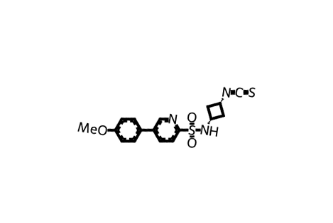 COc1ccc(-c2ccc(S(=O)(=O)N[C@H]3C[C@@H](N=C=S)C3)nc2)cc1